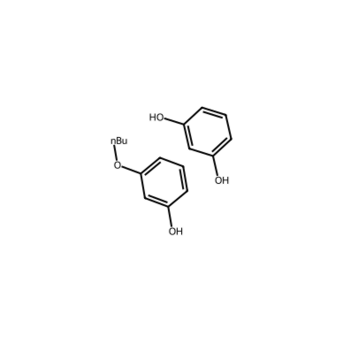 CCCCOc1cccc(O)c1.Oc1cccc(O)c1